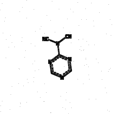 N#CN(C#N)c1ncncn1